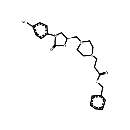 N#Cc1ccc(N2C[C@@H](CN3CCN(CCC(=O)OCc4ccccc4)CC3)OC2=O)cc1